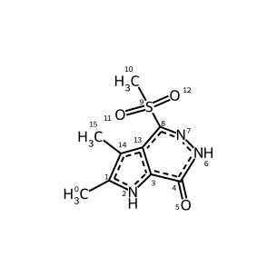 Cc1[nH]c2c(=O)[nH]nc(S(C)(=O)=O)c2c1C